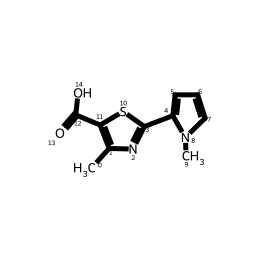 Cc1nc(-c2cccn2C)sc1C(=O)O